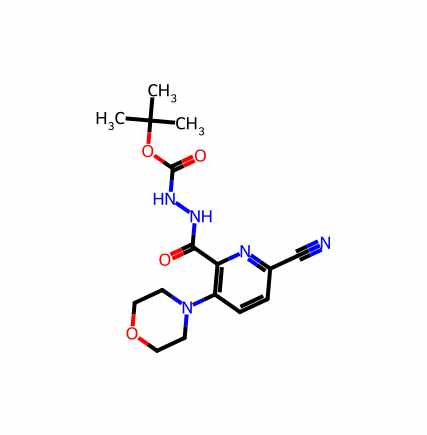 CC(C)(C)OC(=O)NNC(=O)c1nc(C#N)ccc1N1CCOCC1